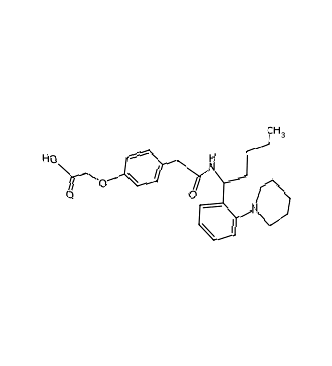 CCCCC(NC(=O)Cc1ccc(OCC(=O)O)cc1)c1ccccc1N1CCCCC1